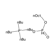 CCCCCCCCO[PH](=O)[O-].CCCC[P+](CCCC)(CCCC)CCCC